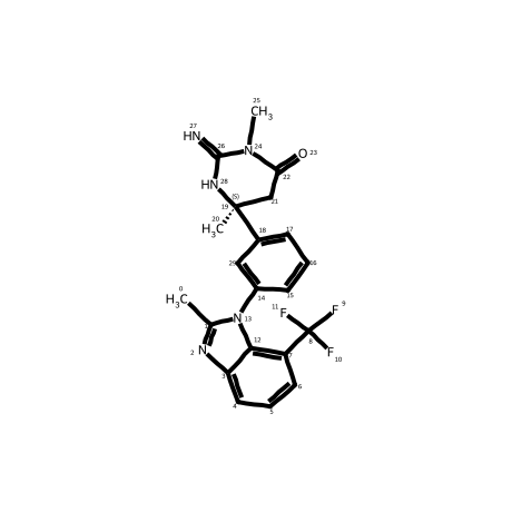 Cc1nc2cccc(C(F)(F)F)c2n1-c1cccc([C@]2(C)CC(=O)N(C)C(=N)N2)c1